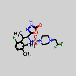 Cc1ccc(F)c(C(C)[C@H](NS(=O)(=O)N2CCN(CC(F)F)CC2)c2n[nH]c(=O)o2)c1C